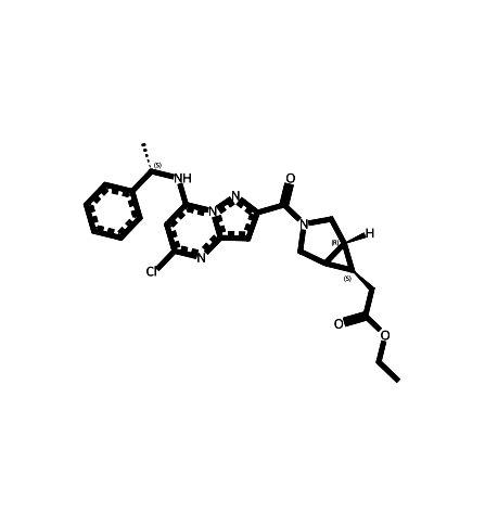 CCOC(=O)C[C@H]1C2CN(C(=O)c3cc4nc(Cl)cc(N[C@@H](C)c5ccccc5)n4n3)C[C@@H]21